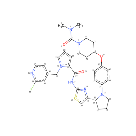 CN(C)C(=O)N1CCC(Oc2ccc(N3CCC[C@@H]3c3csc(NC(=O)c4cccn4Cc4ccnc(F)c4)n3)cc2)CC1